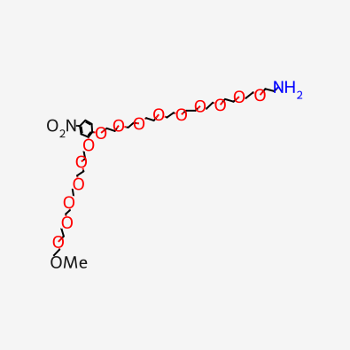 COCCOCCOCCOCCOCCOCCOc1cc([N+](=O)[O-])ccc1OCCOCCOCCOCCOCCOCCOCCOCCOCCN